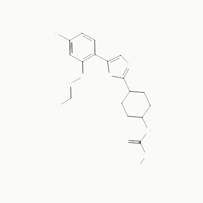 CCNSc1cc(N)ccc1-c1cnc(C2CCC(NC(=O)OC)CC2)s1